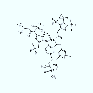 CN(C)CC(=O)N(c1nn(CC(F)(F)F)c2c(-c3ccc(CCC(C)(C)S(C)(=O)=O)nc3[C@H](Cc3cc(F)cc(F)c3)NC(=O)Cn3nc(C(F)(F)F)c4c3C(F)(F)C3C[C@H]43)ccc(Cl)c12)S(C)(=O)=O